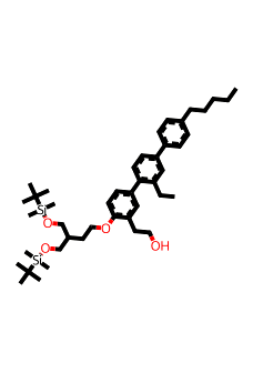 CCCCCc1ccc(-c2ccc(-c3ccc(OCCC(CO[Si](C)(C)C(C)(C)C)CO[Si](C)(C)C(C)(C)C)c(CCO)c3)c(CC)c2)cc1